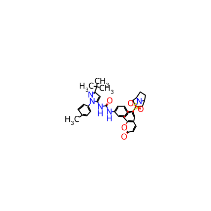 Cc1ccc(-n2nc(C(C)(C)C)cc2NC(=O)Nc2ccc(CC3CC4CCC(C3)N4S(=O)(=O)c3ccc4oc(=O)ccc4c3)cc2)cc1